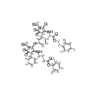 Cc1cc(C)c(CCOC(=O)CNC2=C(c3ccccc3)S(=O)(=O)N(C(C)(C)C)C2=O)c(C)c1.Cc1cccc(C)c1OC(=O)CCCNC1=C(c2ccccc2)S(=O)(=O)N(C(C)(C)C)C1=O